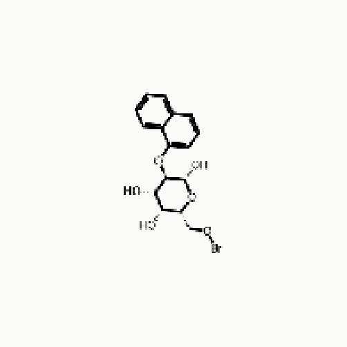 O[C@@H]1[C@H](O)[C@@H](Oc2cccc3ccccc23)[C@H](O)O[C@@H]1COBr